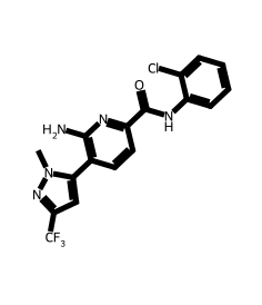 Cn1nc(C(F)(F)F)cc1-c1ccc(C(=O)Nc2ccccc2Cl)nc1N